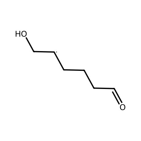 O=CCCC[CH]CO